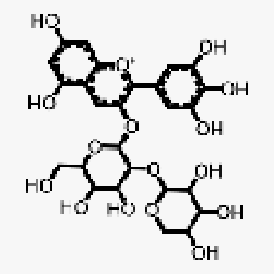 OCC1OC(Oc2cc3c(O)cc(O)cc3[o+]c2-c2cc(O)c(O)c(O)c2)C(OC2OCC(O)C(O)C2O)C(O)C1O